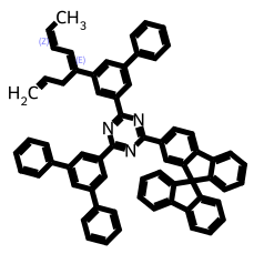 C=CC/C(=C\C=C/C)c1cc(-c2ccccc2)cc(-c2nc(-c3cc(-c4ccccc4)cc(-c4ccccc4)c3)nc(-c3ccc4c(c3)C3(c5ccccc5-c5ccccc53)c3ccccc3-4)n2)c1